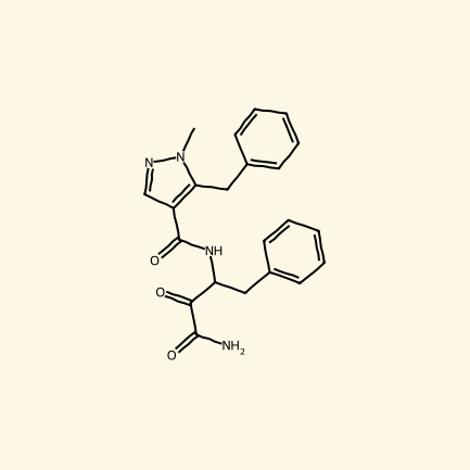 Cn1ncc(C(=O)NC(Cc2ccccc2)C(=O)C(N)=O)c1Cc1ccccc1